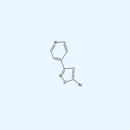 CC(=O)c1cc(-c2ccncc2)no1